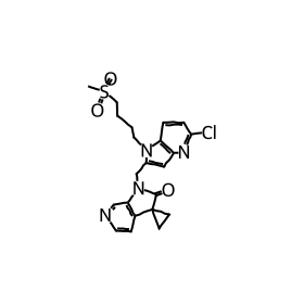 CS(=O)(=O)CCCCn1c(CN2C(=O)C3(CC3)c3ccncc32)cc2nc(Cl)ccc21